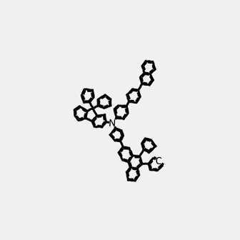 c1ccc(-c2c(-c3ccccc3)c3cc(-c4ccc(N(c5ccc(-c6ccc(-c7ccc8ccccc8c7)cc6)cc5)c5ccc6c(c5)C(c5ccccc5)(c5ccccc5)c5ccccc5-6)cc4)ccc3c3ccccc23)cc1